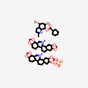 C[n+]1cc2c3c(ccc2c2ccc4cc5c(cc4c21)OCO5)OCO3.C[n+]1cc2c3c(ccc2c2ccc4cc5c(cc4c21)OCO5)OCO3.Cc1ccc2c(Br)cc(Br)c(OC(=O)c3ccccc3)c2n1.O=S(=O)([O-])[O-]